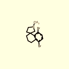 CN1CCC2(CCCc3c(Br)ccc(Br)c32)C1